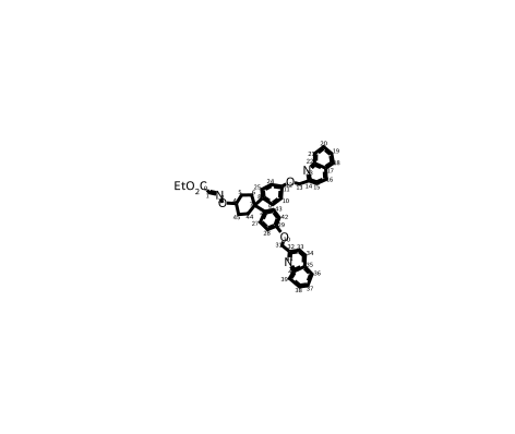 CCOC(=O)C=NOC1CCC(c2ccc(OCc3ccc4ccccc4n3)cc2)(c2ccc(OCc3ccc4ccccc4n3)cc2)CC1